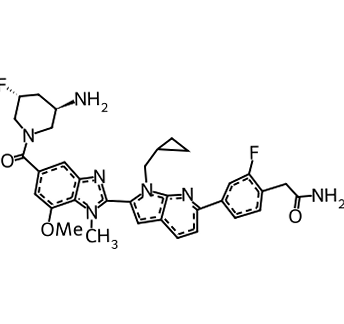 COc1cc(C(=O)N2C[C@H](N)C[C@@H](F)C2)cc2nc(-c3cc4ccc(-c5ccc(CC(N)=O)c(F)c5)nc4n3CC3CC3)n(C)c12